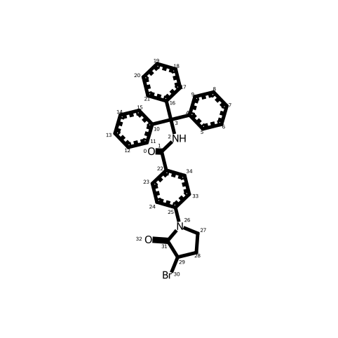 O=C(NC(c1ccccc1)(c1ccccc1)c1ccccc1)c1ccc(N2CCC(Br)C2=O)cc1